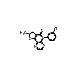 CC1Cc2c(c3nccnc3n(-c3cccc(Cl)c3)c2=O)O1